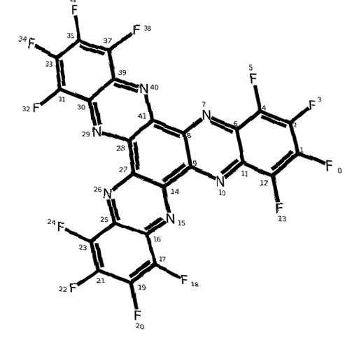 Fc1c(F)c(F)c2nc3c(nc2c1F)c1nc2c(F)c(F)c(F)c(F)c2nc1c1nc2c(F)c(F)c(F)c(F)c2nc31